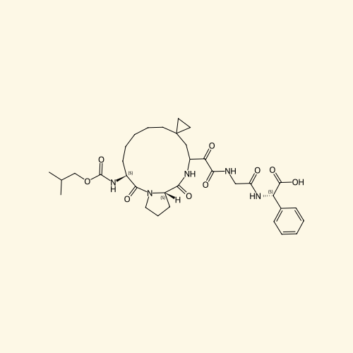 CC(C)COC(=O)N[C@H]1CCCCCC2(CC2)CC(C(=O)C(=O)NCC(=O)N[C@H](C(=O)O)c2ccccc2)NC(=O)[C@@H]2CCCN2C1=O